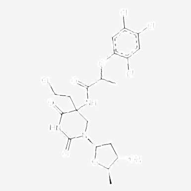 CC(Oc1cc(Cl)c(Cl)cc1Cl)C(=O)NC1(CCCl)CN([C@H]2C[C@H](O)[C@@H](C)O2)C(=O)NC1=O